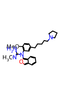 CN=C(N)N(c1cc(CCCCCN2CCCC2)ccc1OC)c1occ2ccccc12